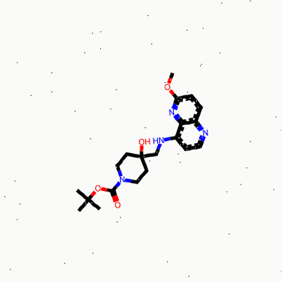 COc1ccc2nccc(NCC3(O)CCN(C(=O)OC(C)(C)C)CC3)c2n1